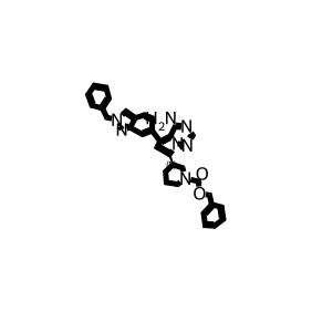 Nc1ncnn2c([C@@H]3CCCN(C(=O)OCc4ccccc4)C3)cc(-c3ccc4cn(Cc5ccccc5)nc4c3)c12